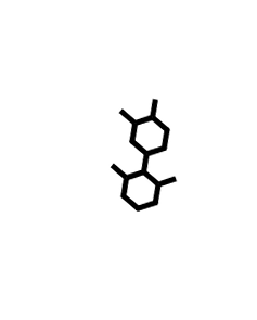 CC1CCC(C2C(C)CCCC2C)CC1C